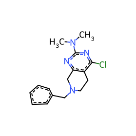 CN(C)c1nc(Cl)c2c(n1)CN(Cc1ccccc1)CC2